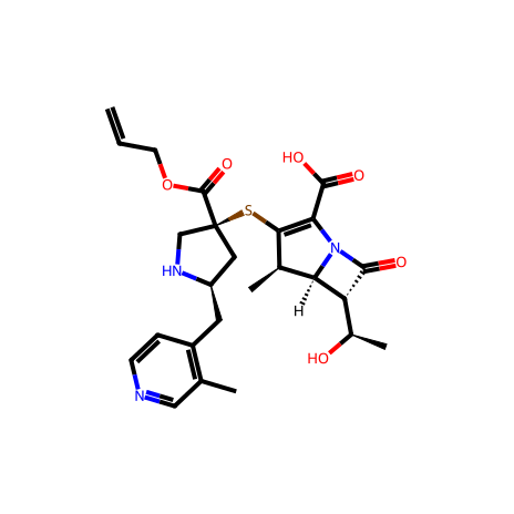 C=CCOC(=O)[C@@]1(SC2=C(C(=O)O)N3C(=O)[C@H]([C@@H](C)O)[C@H]3[C@H]2C)CN[C@H](Cc2ccncc2C)C1